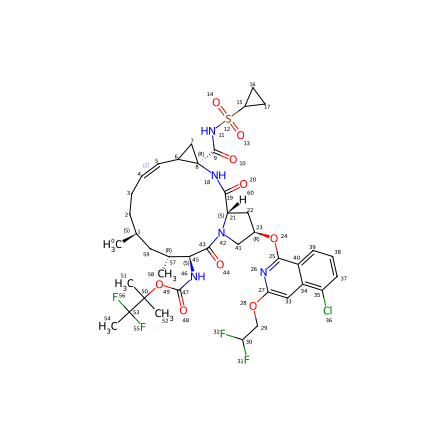 C[C@H]1CC/C=C\C2C[C@@]2(C(=O)NS(=O)(=O)C2CC2)NC(=O)[C@@H]2C[C@@H](Oc3nc(OCC(F)F)cc4c(Cl)cccc34)CN2C(=O)[C@@H](NC(=O)OC(C)(C)C(C)(F)F)[C@H](C)C1